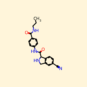 CCCNC(=O)c1ccc(NC(=O)C2NCc3cc(C#N)ccc32)cc1